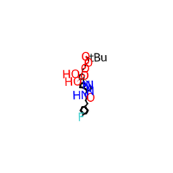 CC(C)(C)C(=O)OCOC[C@H]1O[C@@](C)(c2ccc3c(NC(=O)CCc4ccc(F)cc4)ncnn23)[C@H](O)[C@@H]1O